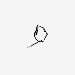 Oc1cccbn1